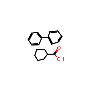 O=C(O)C1CCCCC1.c1ccc(-c2ccccc2)cc1